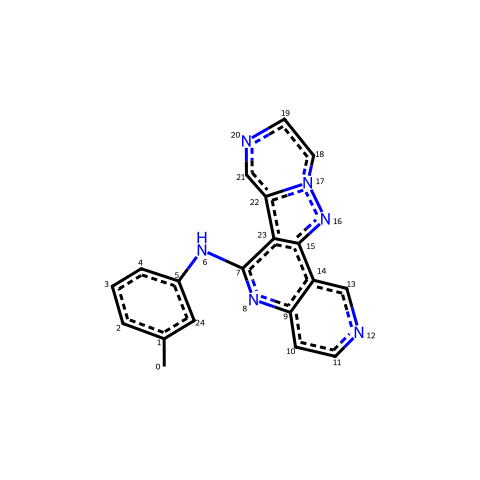 Cc1cccc(Nc2nc3ccncc3c3nn4ccncc4c23)c1